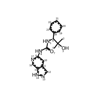 CC(C)(O)[C@@H](NC(=O)Nc1cc2cn[nH]c2cn1)c1ccccc1